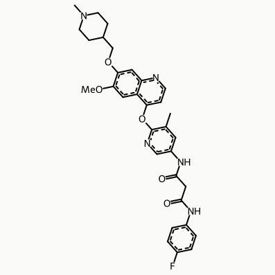 COc1cc2c(Oc3ncc(NC(=O)CC(=O)Nc4ccc(F)cc4)cc3C)ccnc2cc1OCC1CCN(C)CC1